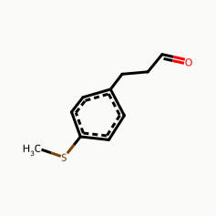 CSc1ccc(CCC=O)cc1